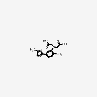 Cc1cnc(-c2ccc(C)c(N(CC(=O)O)CC(=O)O)c2)s1